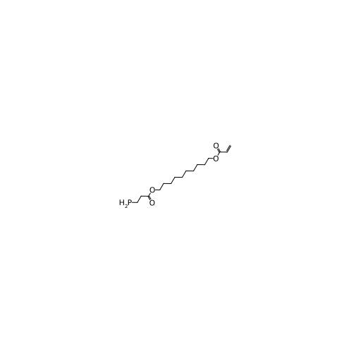 C=CC(=O)OCCCCCCCCCCOC(=O)CCP